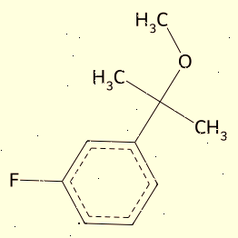 COC(C)(C)c1cc[c]c(F)c1